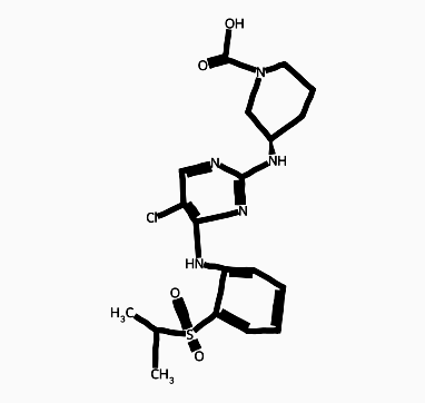 CC(C)S(=O)(=O)c1ccccc1Nc1nc(N[C@@H]2CCCN(C(=O)O)C2)ncc1Cl